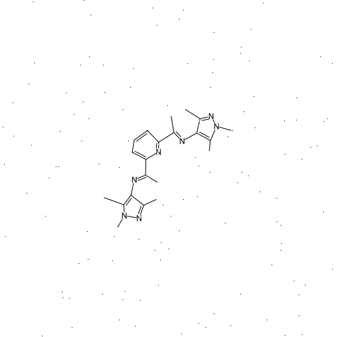 C/C(=N\c1c(C)nn(C)c1C)c1cccc(/C(C)=N/c2c(C)nn(C)c2C)n1